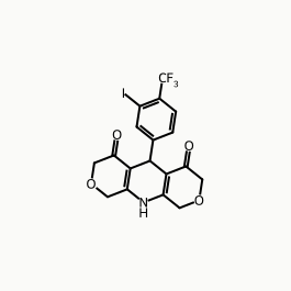 O=C1COCC2=C1C(c1ccc(C(F)(F)F)c(I)c1)C1=C(COCC1=O)N2